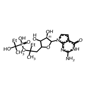 CCC(C)(CC1OC(n2ccc3c(=O)[nH]c(N)nc32)[C@H](O)C1O)OP(=O)(O)C(C)(O)CC